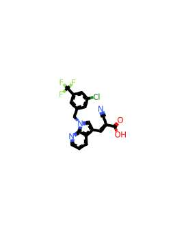 N#C/C(=C\c1cn(Cc2cc(Cl)cc(C(F)(F)F)c2)c2ncccc12)C(=O)O